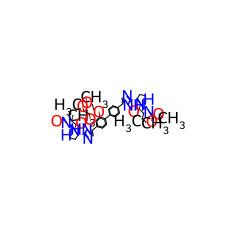 COCCOc1c(-c2ccc(-c3cnc([C@@H]4CCCN4C(=O)[C@@H](NC(=O)OC)C(C)C)[nH]3)cc2)ccc(-c2cnc([C@@H]3CCCN3C(=O)[C@H](C)NC=O)[nH]2)c1OCCOC